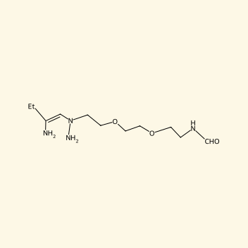 CC/C(N)=C/N(N)CCOCCOCCNC=O